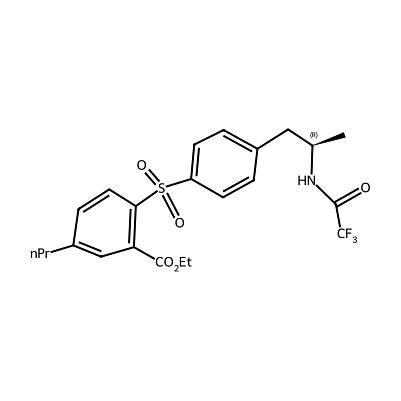 CCCc1ccc(S(=O)(=O)c2ccc(C[C@@H](C)NC(=O)C(F)(F)F)cc2)c(C(=O)OCC)c1